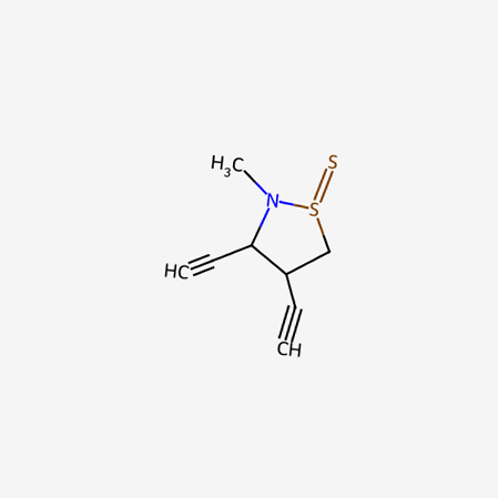 C#CC1CS(=S)N(C)C1C#C